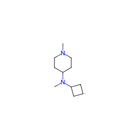 CN1CCC(N(C)C2C[CH]C2)CC1